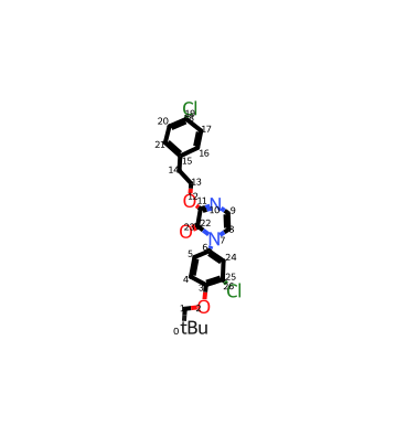 CC(C)(C)COc1ccc(-n2ccnc(OCCc3ccc(Cl)cc3)c2=O)cc1Cl